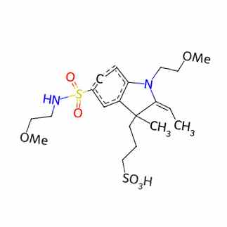 C/C=C1/N(CCOC)c2ccc(S(=O)(=O)NCCOC)cc2C1(C)CCCS(=O)(=O)O